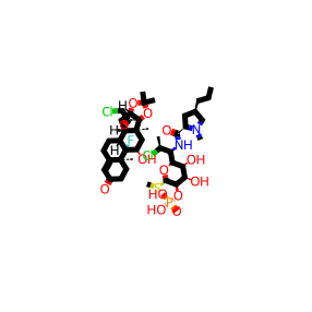 CC1(C)O[C@@H]2C[C@H]3[C@@H]4CCC5=CC(=O)CC[C@]5(C)[C@@]4(F)[C@@H](O)C[C@]3(C)[C@]2(C(=O)CCl)O1.CCC[C@@H]1C[C@@H](C(=O)N[C@@H]([C@H]2O[C@H](SC)[C@H](OP(=O)(O)O)[C@@H](O)[C@H]2O)[C@H](C)Cl)N(C)C1